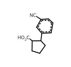 N#Cc1cccc(C2CCCC2C(=O)O)c1